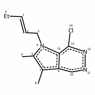 CCC=CCn1c(C)c(C)c2cnnc(Cl)c21